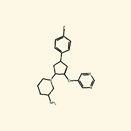 NC1CCCN(C2CC(c3ccc(F)cc3)CC2Oc2cncnc2)C1